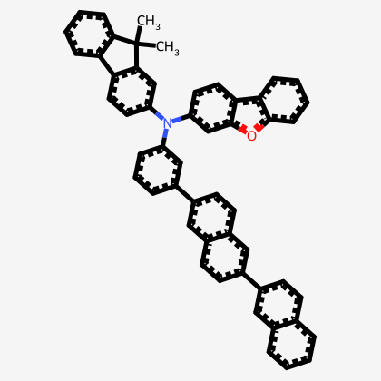 CC1(C)c2ccccc2-c2ccc(N(c3cccc(-c4ccc5cc(-c6ccc7ccccc7c6)ccc5c4)c3)c3ccc4c(c3)oc3ccccc34)cc21